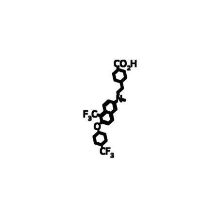 CN(CCC1CCC(C(=O)O)CC1)c1ccc2c(C(F)(F)F)c(O[C@H]3CC[C@@H](C(F)(F)F)CC3)ccc2c1